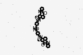 COc1cc2c(=O)n3c4ccccc4nc3c3cccc(c1N=Nc1ccc(-c4nnc(-c5ccc(N=Nc6c(OC)cc7c8c6cccc8c(=O)n6c8ccccc8nc76)cc5)o4)cc1)c23